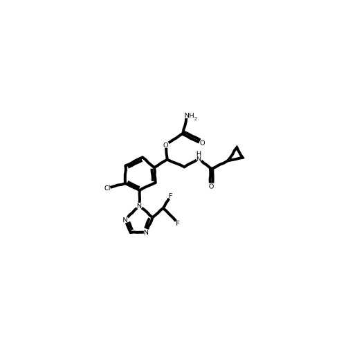 NC(=O)OC(CNC(=O)C1CC1)c1ccc(Cl)c(-n2ncnc2C(F)F)c1